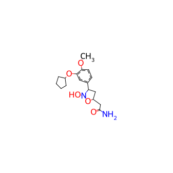 COc1ccc(C2CC(CC(N)=O)ON2O)cc1OC1CCCC1